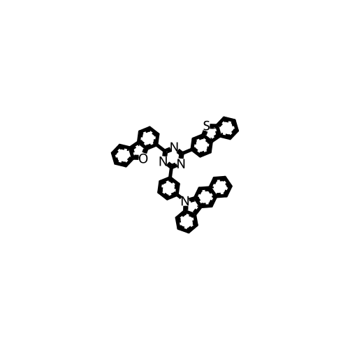 c1cc(-c2nc(-c3ccc4c(c3)sc3ccccc34)nc(-c3cccc4c3oc3ccccc34)n2)cc(-n2c3ccccc3c3cc4ccccc4cc32)c1